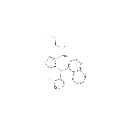 CCCCCn1cncc1C(c1c[nH]cc1C(=O)N(C)CCOC)c1cccc2ccccc12